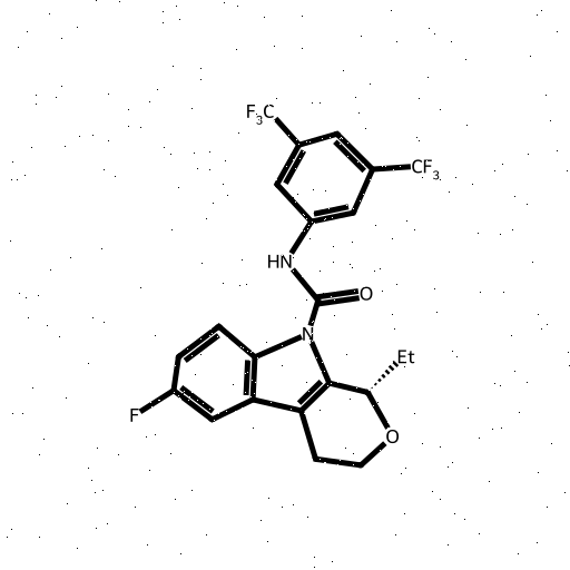 CC[C@@H]1OCCc2c1n(C(=O)Nc1cc(C(F)(F)F)cc(C(F)(F)F)c1)c1ccc(F)cc21